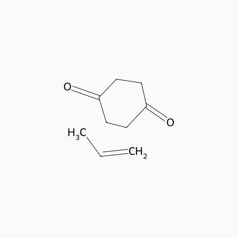 C=CC.O=C1CCC(=O)CC1